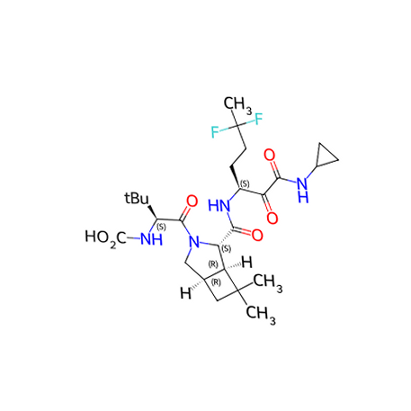 CC(F)(F)CC[C@H](NC(=O)[C@@H]1[C@@H]2[C@H](CN1C(=O)[C@@H](NC(=O)O)C(C)(C)C)CC2(C)C)C(=O)C(=O)NC1CC1